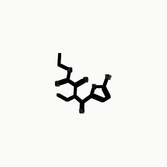 CCOC(=O)C(=O)C(CC)C(=O)c1ccc(Br)s1